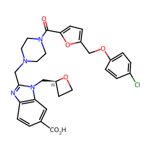 O=C(O)c1ccc2nc(CN3CCN(C(=O)c4ccc(COc5ccc(Cl)cc5)o4)CC3)n(C[C@@H]3CCO3)c2c1